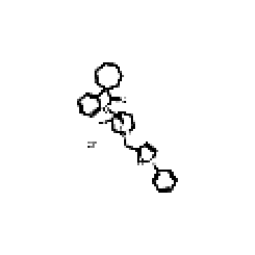 O=C(O[C@H]1C[N+]2(Cc3ccn(-c4ccccc4)n3)CCC1CC2)C1(c2ccccc2)CCCCCC1.[Cl-]